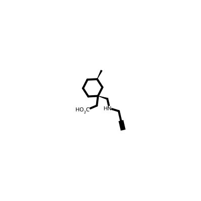 C#CCNC[C@@]1(CC(=O)O)CCC[C@@H](C)C1